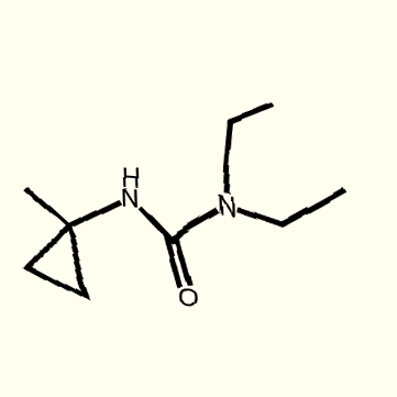 CCN(CC)C(=O)NC1(C)CC1